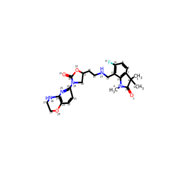 CN1C(=O)C(C)(C)c2ccc(F)c(CNCCC3CN(c4ccc5c(n4)NCCO5)C(=O)O3)c21